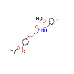 COC(=O)c1ccc(SCCCC(=O)NCCc2cc(F)ccc2OC)cc1